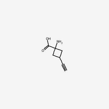 C#CC1CC(N)(C(=O)O)C1